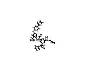 Cn1cnnc1CC1(c2cc(NCCC#N)nc(N3Cc4c(cc(CN5CCN(c6nccs6)CC5)cc4C(F)(F)F)C3=O)c2)COC1